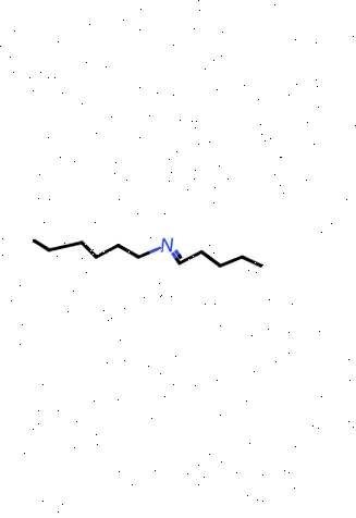 CCCC/C=N/CCCCCC